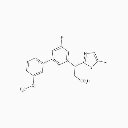 Cc1cnc(C(CC(=O)O)c2cc(F)cc(-c3cccc(OC(F)(F)F)c3)c2)s1